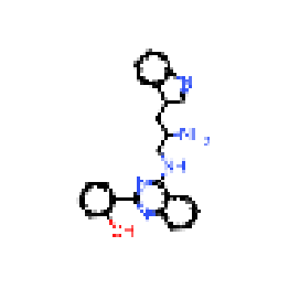 NC(CNc1nc(-c2ccccc2O)nc2ccccc12)CC1C=Nc2ccccc21